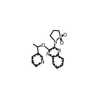 CC(Oc1nc2ccccc2nc1N1CCCS1(=O)=O)c1cccnc1